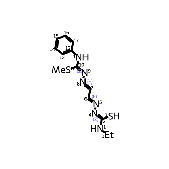 CCN/C(S)=N/N=C/C=N/N=C(/Nc1ccccc1)SC